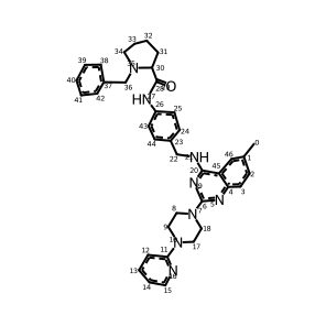 Cc1ccc2nc(N3CCN(c4ccccn4)CC3)nc(NCc3ccc(NC(=O)C4CCCCN4Cc4ccccc4)cc3)c2c1